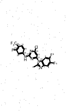 Cc1nc2cc(F)c(F)cc2n1-c1cc(Cl)nc(Nc2ccc(C(F)(F)F)c(F)c2)n1